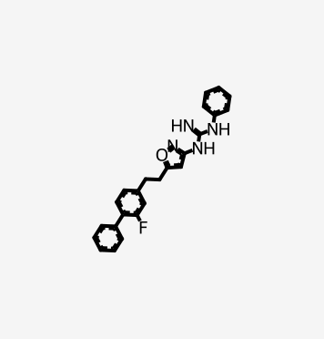 N=C(Nc1ccccc1)Nc1cc(CCc2ccc(-c3ccccc3)c(F)c2)on1